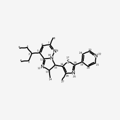 CCC(CC)C1=CC(C)=NN2C1=NC(C)C2c1sc(-c2ccncc2)nc1C